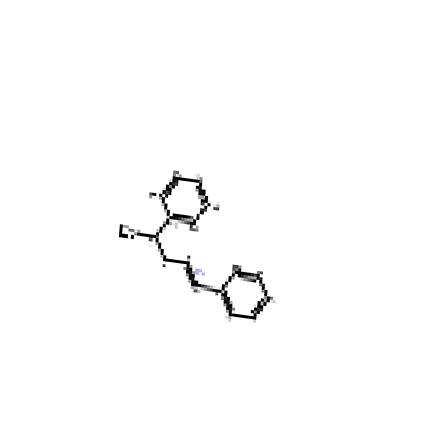 [CH2]CC(C/C=C/c1ccccc1)c1ccccc1